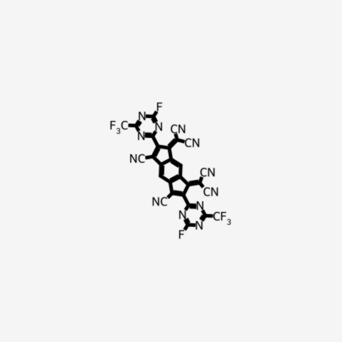 N#CC(C#N)=C1C(c2nc(F)nc(C(F)(F)F)n2)=C(C#N)c2cc3c(cc21)C(=C(C#N)C#N)C(c1nc(F)nc(C(F)(F)F)n1)=C3C#N